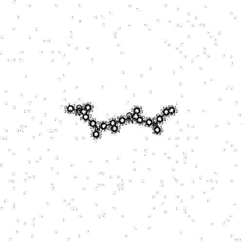 c1ccc(-c2nc3c4ccc(-c5ccc(N(c6ccccc6)c6ccc(-c7ccc(-c8ccc(-c9nc%10c%11ccc(-c%12ccc(N(c%13ccccc%13)c%13ccc(-c%14ccc%15ccccc%15c%14)cc%13)cc%12)cc%11c%11ccccc%11c%10o9)cc8)c8ccccc78)cc6)cc5)cc4c4ccccc4c3o2)cc1